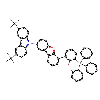 CC(C)(C)c1ccc2c(c1)c1cc(C(C)(C)C)ccc1n2-c1ccc2oc3c(-c4cccc5c4Oc4ccccc4[Si]5(c4ccccc4)c4ccccc4)cccc3c2c1